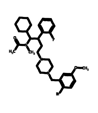 COc1ccc(Br)c(CN2CCN(CCC(c3ccccc3F)C(C3CCCCC3)N(C)C(C)=O)CC2)c1